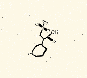 O=C(O)C(CS(=O)(=O)O)C1CCCNC1